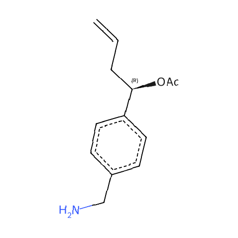 C=CC[C@@H](OC(C)=O)c1ccc(CN)cc1